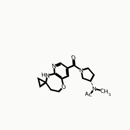 CC(=O)N(C)[C@H]1CCN(C(=O)c2cnc3c(c2)OCCC2(CC2)N3)C1